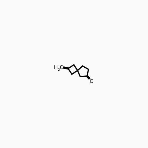 C=C1CC2(CCC(=O)C2)C1